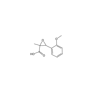 COc1ccccc1C1OC1(C)C(=O)O